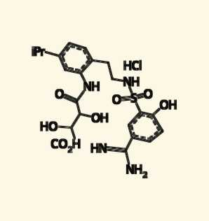 CC(C)c1ccc(CCNS(=O)(=O)c2cc(C(=N)N)ccc2O)c(NC(=O)C(O)C(O)C(=O)O)c1.Cl